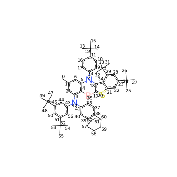 Cc1cc2c3c(c1)N(c1ccc(C(C)(C)C)cc1)c1c(sc4cc(C(C)(C)C)cc(C(C)(C)C)c14)B3c1cc3c(cc1N2c1cc(C(C)(C)C)cc(C(C)(C)C)c1)C1CCC3CC1